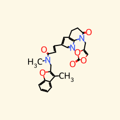 Cc1c(CN(C)C(=O)/C=C/c2cnc3c(c2)CCC(=O)N3Cc2coc(=O)o2)oc2ccccc12